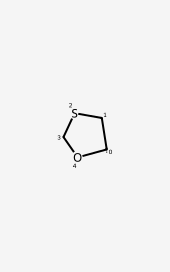 [CH]1CSCO1